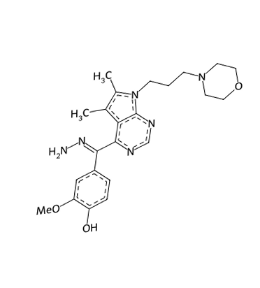 COc1cc(C(=NN)c2ncnc3c2c(C)c(C)n3CCCN2CCOCC2)ccc1O